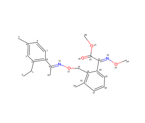 CCc1cc(C)ccc1/C(C)=N/OCc1c(C)cccc1/C(=N\OC)C(=O)OC